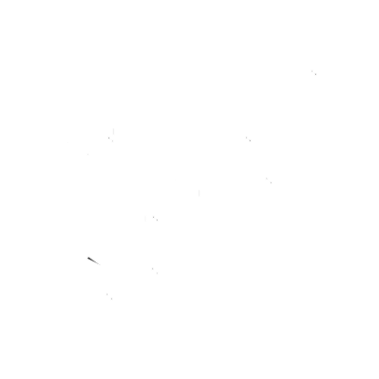 C[C@H]1CN(c2cc(F)c(C3=CCCN(c4ncc(C#N)s4)C3)c(F)c2NC(=O)c2c[nH]c(=O)cc2C(F)(F)F)CCN1C